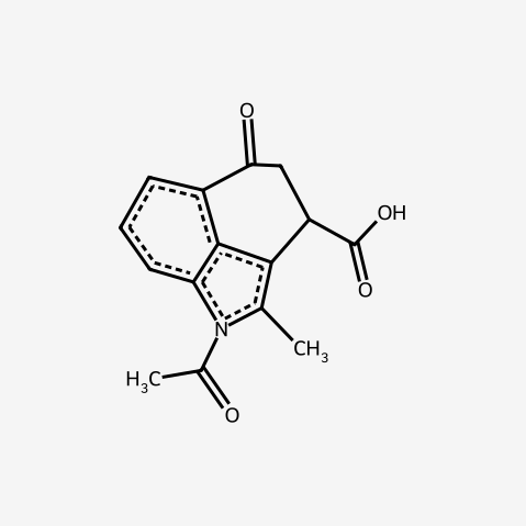 CC(=O)n1c(C)c2c3c(cccc31)C(=O)CC2C(=O)O